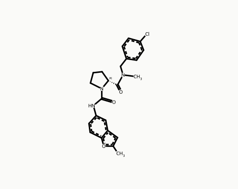 Cc1cc2cc(NC(=O)N3CCC[C@@H]3C(=O)N(C)Cc3ccc(Cl)cc3)ccc2o1